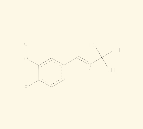 [CH2]C(C)(C)/N=C/c1ccc(F)c(OC)c1